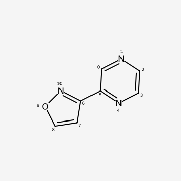 [c]1nccnc1-c1ccon1